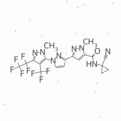 Cn1nc(-c2ccn(-c3c(C(F)(F)F)c(C(F)(F)C(F)(F)F)nn3C)n2)cc1C(=O)NC1(C#N)CC1